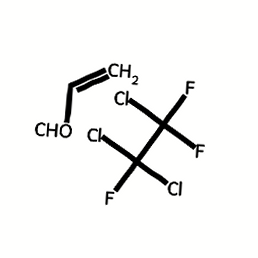 C=CC=O.FC(F)(Cl)C(F)(Cl)Cl